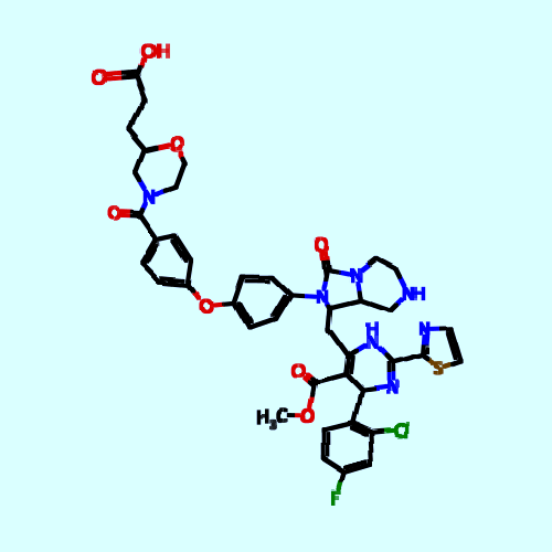 COC(=O)C1=C(CC2C3CNCCN3C(=O)N2c2ccc(Oc3ccc(C(=O)N4CCOC(CCC(=O)O)C4)cc3)cc2)NC(c2nccs2)=NC1c1ccc(F)cc1Cl